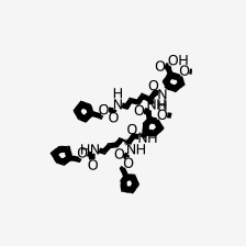 COc1ccc(NC(=O)C(CCCCNC(=O)OCc2ccccc2)NC(=O)c2cc(NC(=O)[C@H](CCCCNC(=O)OCc3ccccc3)NC(=O)OCc3ccccc3)ccc2OC)cc1C(=O)O